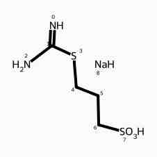 N=C(N)SCCCS(=O)(=O)O.[NaH]